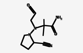 CC(C)(C(N)=O)N(CC=O)N1CCCC1C#N